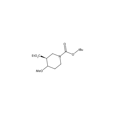 CCOC(=O)[C@H]1CN(C(=O)OC(C)(C)C)CCC1OC